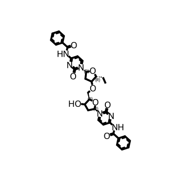 CC[C@H]1O[C@@H](n2ccc(NC(=O)c3ccccc3)nc2=O)CC1OC[C@H]1O[C@@H](n2ccc(NC(=O)c3ccccc3)nc2=O)CC1O